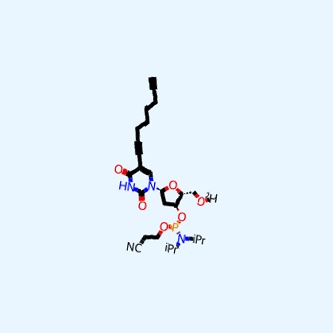 [2H]OC[C@H]1O[C@@H](n2cc(C#CCCCCC#C)c(=O)[nH]c2=O)C[C@H]1OP(OCCC#N)N(C(C)C)C(C)C